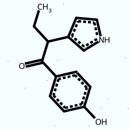 CCC(C(=O)c1ccc(O)cc1)c1cc[nH]c1